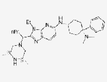 CCCC(c1nc2ccc(N[C@H]3CC[C@@](c4ccccc4)(N(C)C)CC3)nc2n1CC)N1C[C@@H](C)N[C@@H](C)C1